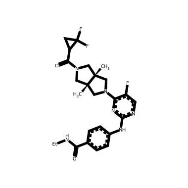 CCNC(=O)c1ccc(Nc2ncc(F)c(N3C[C@]4(C)CN(C(=O)C5CC5(F)F)C[C@]4(C)C3)n2)cc1